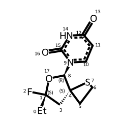 CC[C@]1(F)C[C@]2(CCS2)[C@H](n2ccc(=O)[nH]c2=O)O1